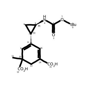 CC(C)(C)OC(=O)N[C@@H]1C[C@H]1C1=CC(C)(C(=O)O)CC(C(=O)O)=C1